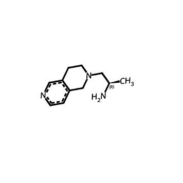 C[C@@H](N)CN1CCc2cnccc2C1